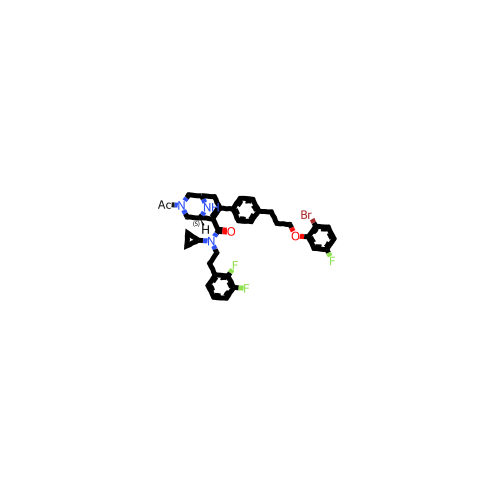 CC(=O)N1CC2CC(c3ccc(CCCOc4cc(F)ccc4Br)cc3)=C(C(=O)N(CCc3cccc(F)c3F)C3CC3)[C@@H](C1)N2